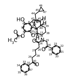 CC(=O)Oc1cc(O)c2c3c1O[C@H]1[C@@H](N(CC(=O)c4ccccc4)C(=O)CCCCC(=O)c4ccccc4)CC[C@H]4[C@@H](C2)N(CC2CC2)CC[C@@]341